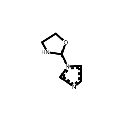 c1cn(C2NCCO2)cn1